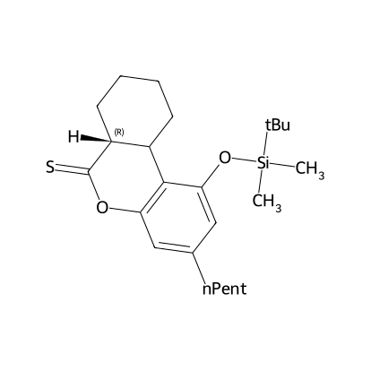 CCCCCc1cc2c(c(O[Si](C)(C)C(C)(C)C)c1)C1CCCC[C@H]1C(=S)O2